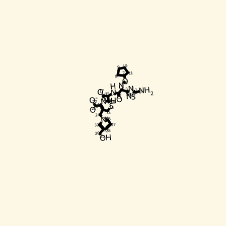 Nc1nc(C(=NOC2CCCC2)C(=O)NC2C(=O)N3C(C(=O)[O-])=C(C[n+]4cccc(CO)c4)CS[C@@H]23)ns1